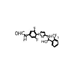 O=CNc1cc(F)c(-n2ccc(NC(O)c3ccccc3C(F)(F)F)n2)c(F)c1